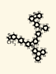 Cc1csc2ccc(-c3ccc(-c4ccc5c(c4)c4cc(-c6ccc(N(c7ccccc7)c7ccc(-c8cccc9sc%10ccccc%10c89)cc7)cc6)ccc4n5-c4ccc5c6ccccc6c6ccccc6c5c4)cc3)cc12